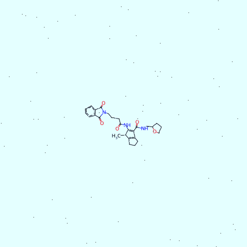 CC1C2=C(CCC2)C(C(=O)NCC2CCCO2)=C1NC(=O)CCCN1C(=O)c2ccccc2C1=O